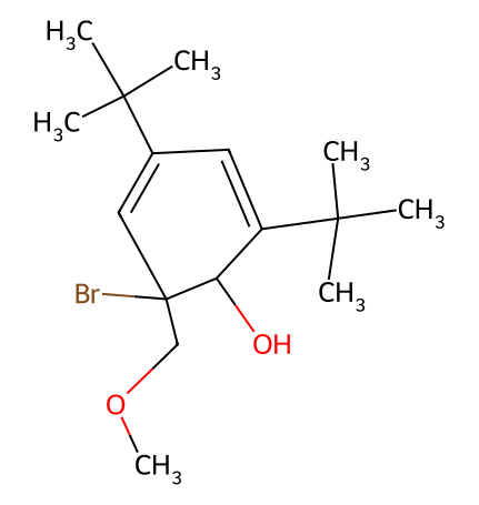 COCC1(Br)C=C(C(C)(C)C)C=C(C(C)(C)C)C1O